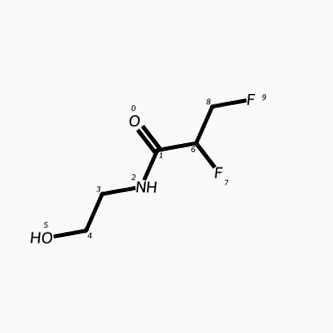 O=C(NCCO)C(F)CF